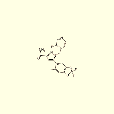 Cc1cc2c(cc1-c1cc(C(N)=O)nn1Cc1ccncc1F)OC(F)(F)O2